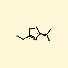 CCC1=NC(=C(C)C)CC1